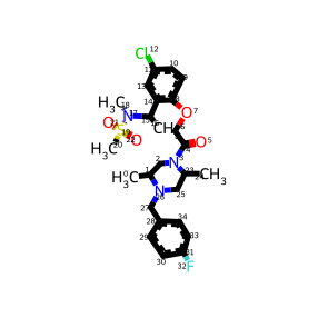 CC1CN(C(=O)COc2ccc(Cl)cc2C(C)N(C)S(C)(=O)=O)C(C)CN1Cc1ccc(F)cc1